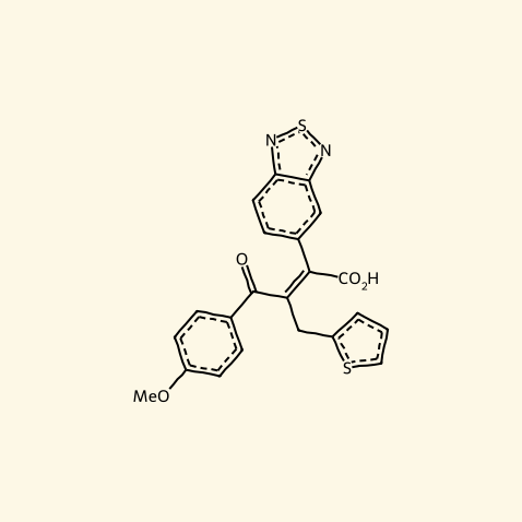 COc1ccc(C(=O)/C(Cc2cccs2)=C(/C(=O)O)c2ccc3nsnc3c2)cc1